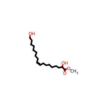 COC(=O)C(O)CCCCCC/C=C\CCCCCCCCO